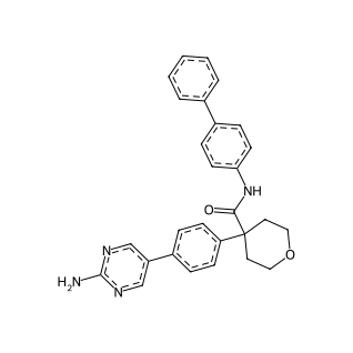 Nc1ncc(-c2ccc(C3(C(=O)Nc4ccc(-c5ccccc5)cc4)CCOCC3)cc2)cn1